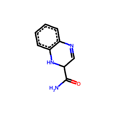 NC(=O)C1C=Nc2ccccc2N1